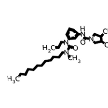 C=CCN(C(=O)N(C)CCCCCCCCCCCC)c1cccc(NC(=O)N2CC(C)C(C)C2)c1